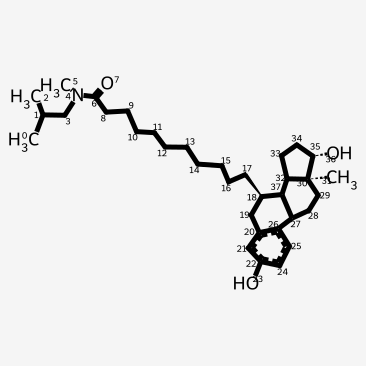 CC(C)CN(C)C(=O)CCCCCCCCCC[C@@H]1Cc2cc(O)ccc2C2CC[C@@]3(C)C(CC[C@@H]3O)C21